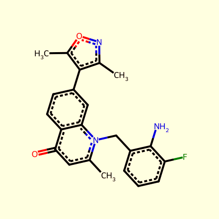 Cc1noc(C)c1-c1ccc2c(=O)cc(C)n(Cc3cccc(F)c3N)c2c1